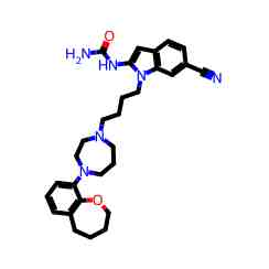 N#Cc1ccc2cc(NC(N)=O)n(CCCCN3CCCN(c4cccc5c4OCCCC5)CC3)c2c1